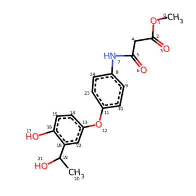 COC(=O)CC(=O)Nc1ccc(Oc2ccc(O)c(C(C)O)c2)cc1